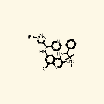 CC(C)n1cc([C@@H](Nc2cc(Cl)c3ncc(C#N)c(N[C@@H](c4ccccc4)C(C)(C)O)c3c2)c2cccnc2)nn1